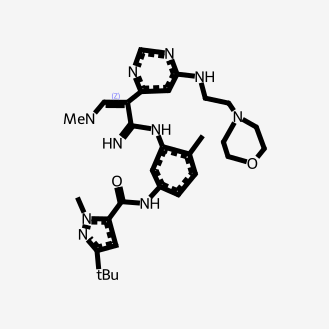 CN/C=C(\C(=N)Nc1cc(NC(=O)c2cc(C(C)(C)C)nn2C)ccc1C)c1cc(NCCN2CCOCC2)ncn1